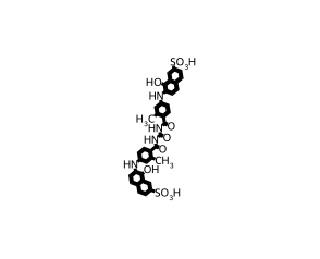 Cc1cc(Nc2ccc3ccc(S(=O)(=O)O)cc3c2O)ccc1C(=O)NC(=O)NC(=O)c1ccc(Nc2ccc3ccc(S(=O)(=O)O)cc3c2O)cc1C